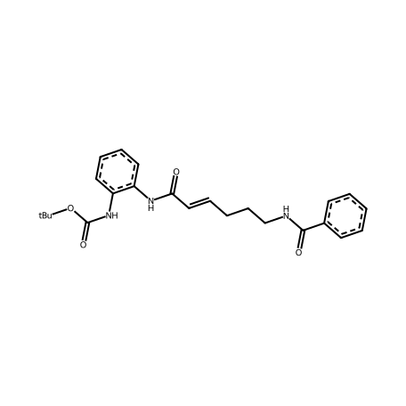 CC(C)(C)OC(=O)Nc1ccccc1NC(=O)C=CCCCNC(=O)c1ccccc1